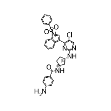 Nc1ccc(C(=O)N[C@@H]2CC[C@H](Nc3ncc(Cl)c(-c4cn(S(=O)(=O)c5ccccc5)c5ccccc45)n3)C2)cc1